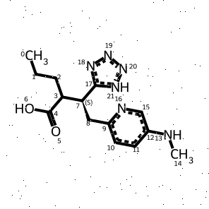 CCCC(C(=O)O)[C@H](Cc1ccc(NC)cn1)c1nnn[nH]1